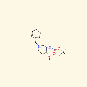 CO[C@H]1CCN(Cc2ccccc2)C[C@@H]1NC(=O)OC(C)(C)C